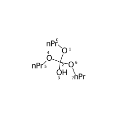 CCCOC(O)(OCCC)OCCC